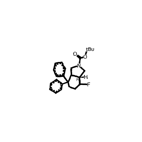 CC(C)(C)OC(=O)N1CC2[C@H](C1)C(F)CCC2(c1ccccc1)c1ccccc1